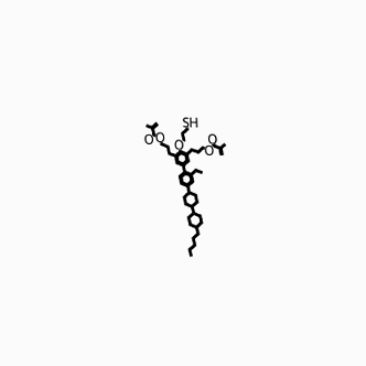 C=C(C)C(=O)OCCCc1cc(-c2ccc(C3CCC(C4CCC(CCCCC)CC4)CC3)cc2CC)cc(CCCOC(=O)C(=C)C)c1OCCCS